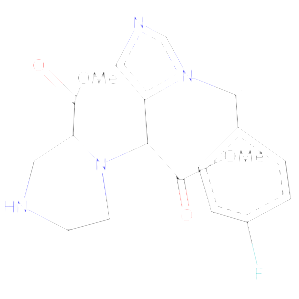 COC(=O)C1CNCCN1C(C(=O)OC)c1cncn1[C@H](C)c1ccc(F)cc1